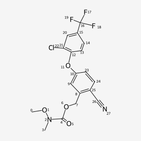 CON(C)C(=O)OCc1cc(Oc2ccc(C(F)(F)F)cc2Cl)ccc1C#N